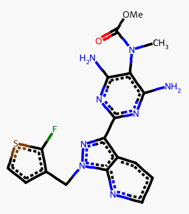 COC(=O)N(C)c1c(N)nc(-c2nn(Cc3ccsc3F)c3ncccc23)nc1N